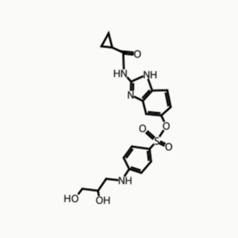 O=C(Nc1nc2cc(OS(=O)(=O)c3ccc(NCC(O)CO)cc3)ccc2[nH]1)C1CC1